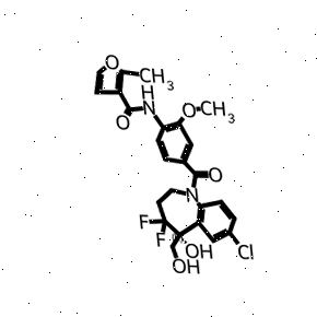 COc1cc(C(=O)N2CCC(F)(F)[C@](O)(CO)c3cc(Cl)ccc32)ccc1NC(=O)c1ccoc1C